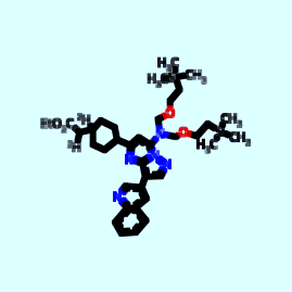 [2H]C(C(=O)OCC)C1([2H])CCC(c2cc(N(COCC[Si](C)(C)C)COCC[Si](C)(C)C)n3ncc(-c4cnc5ccccc5c4)c3n2)CC1